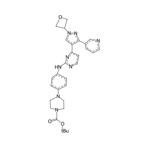 CC(C)(C)OC(=O)N1CCN(c2ccc(Nc3nccc(-c4cn(C5COC5)nc4-c4cccnc4)n3)cc2)CC1